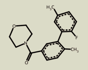 Cc1ccc(F)c(-c2cc(C(=O)N3CCOCC3)ccc2C)c1